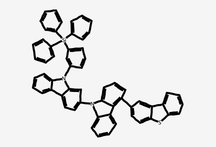 c1ccc([Si](c2ccccc2)(c2ccccc2)c2cccc(-n3c4ccccc4c4ccc(-n5c6ccccc6c6c(-c7ccc8sc9ccccc9c8c7)cccc65)cc43)c2)cc1